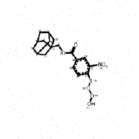 O=C(OCC12CC3CC(CC(C3)C1)C2)c1ccc(SOOO)c([N+](=O)[O-])c1